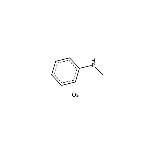 CPc1ccccc1.[Os]